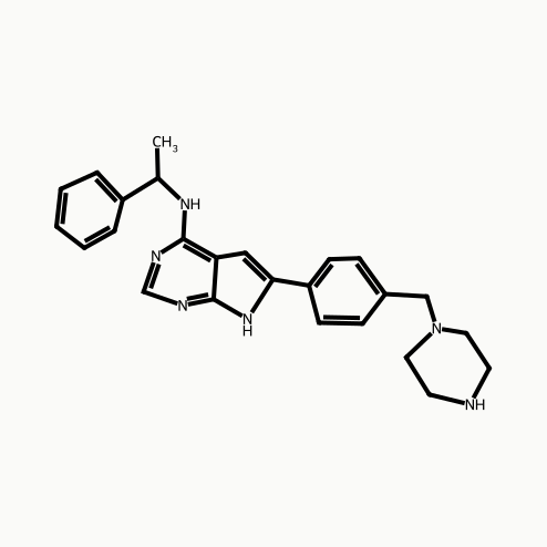 CC(Nc1ncnc2[nH]c(-c3ccc(CN4CCNCC4)cc3)cc12)c1ccccc1